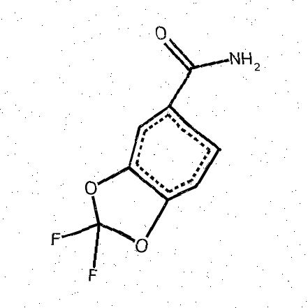 NC(=O)c1ccc2c(c1)OC(F)(F)O2